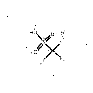 O=S(=O)(O)C(F)(F)F.[Si]